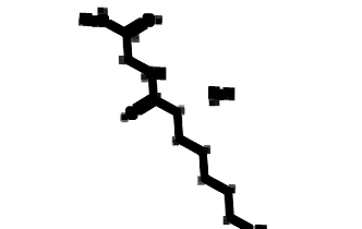 CCCCCCCCCCCCCCCC(=O)NCC(=O)OC.[NaH]